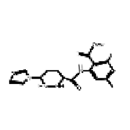 COC(=O)c1c(F)cc(F)cc1NC(=O)C1CCC(n2ccnc2)NN1